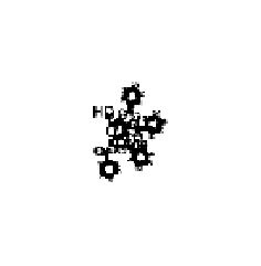 COC1(COC(=O)c2ccccc2)O[C@H](CO)[C@H](OC(=O)c2ccccc2)[C@@H](OC(=O)c2ccccc2)[C@@H]1OC(=O)c1ccccc1